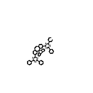 C/C=C\C(=C/C)c1nc(-c2ccccc2)nc(-c2ccc3c(c2)C2(c4cc(-c5nc(-c6ccccc6)nc(-c6ccccc6)n5)ccc4C=C3)c3ccccc3C3C=CC=CC32)n1